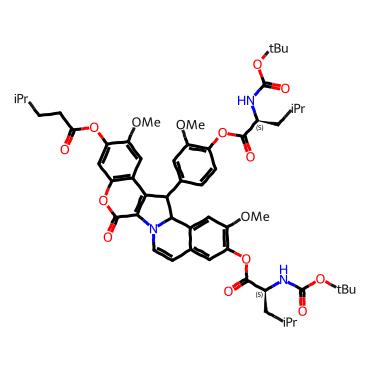 COc1cc2c3c(c(=O)oc2cc1OC(=O)CCC(C)C)N1C=Cc2cc(OC(=O)[C@H](CC(C)C)NC(=O)OC(C)(C)C)c(OC)cc2C1C3c1ccc(OC(=O)[C@H](CC(C)C)NC(=O)OC(C)(C)C)c(OC)c1